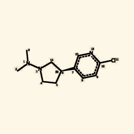 CN(C)N1CC[C@H](c2ccc(Cl)nc2)C1